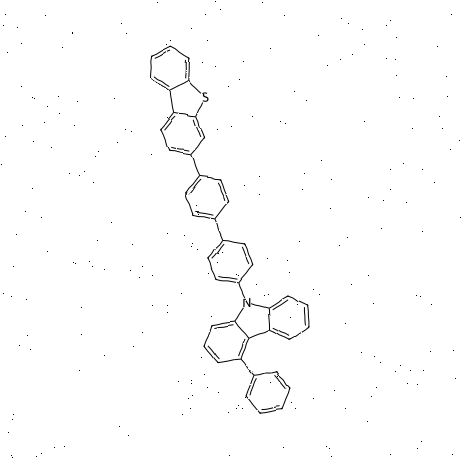 c1ccc(-c2cccc3c2c2ccccc2n3-c2ccc(-c3ccc(-c4ccc5c(c4)sc4ccccc45)cc3)cc2)cc1